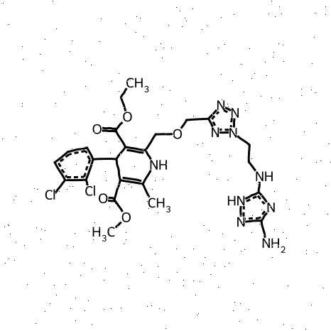 CCOC(=O)C1=C(COCc2nnn(CCNc3nc(N)n[nH]3)n2)NC(C)=C(C(=O)OC)C1c1cccc(Cl)c1Cl